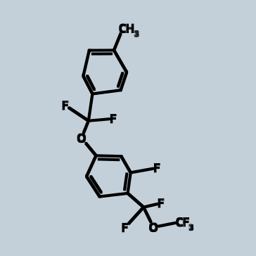 Cc1ccc(C(F)(F)Oc2ccc(C(F)(F)OC(F)(F)F)c(F)c2)cc1